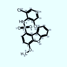 COc1ccc(S(=O)(=O)Nc2c(Cl)cncc2Cl)c2c1oc1ccccc12